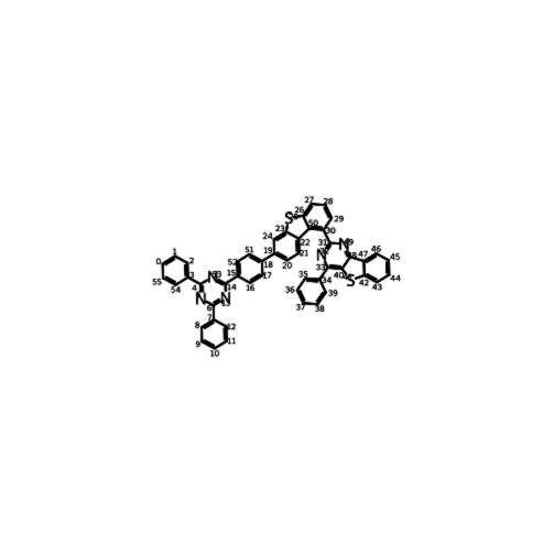 c1ccc(-c2nc(-c3ccccc3)nc(-c3ccc(-c4ccc5c(c4)sc4cccc(-c6nc(-c7ccccc7)c7sc8ccccc8c7n6)c45)cc3)n2)cc1